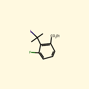 CCOC(=O)c1cccc(F)c1C(C)(C)I